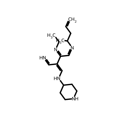 C=CCC(C)\N=C/C(=N\CC)C(/C=N)=C/NC1CCNCC1